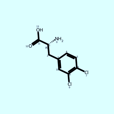 N[C@H](Cc1ccc(Cl)c(Cl)c1)C(=O)O